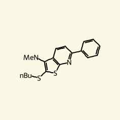 CCCCSc1sc2nc(-c3ccccc3)ccc2c1NC